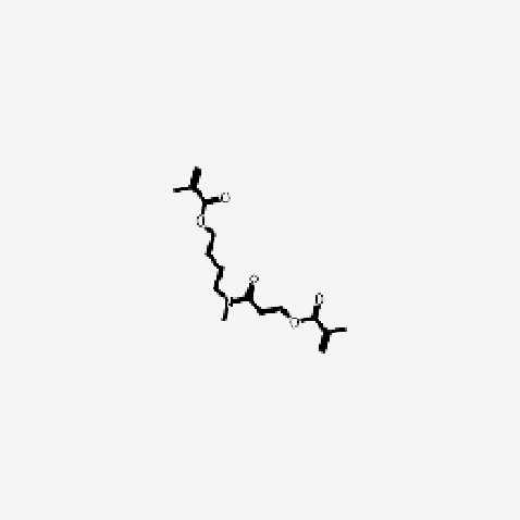 C=C(C)C(=O)OCCCCN(C)C(=O)CCOC(=O)C(=C)C